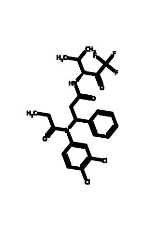 CCC(=O)N(c1ccc(Cl)c(Cl)c1)C(CC(=O)N[C@H](C(=O)C(F)(F)F)C(C)C)c1ccccc1